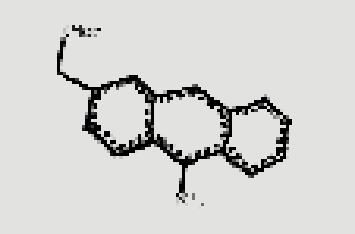 CCCCCCCCCCc1ccc2c(N)c3ccccc3cc2c1